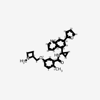 Cc1ccc(OCC2CCN2C)cc1C(=O)NC1(c2cc(-c3ccco3)cc3ncccc23)CC1